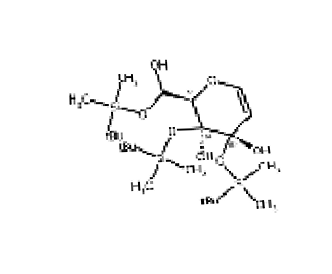 CC(C)(C)[Si](C)(C)OC(O)[C@H]1OC=C[C@](O)(O[Si](C)(C)C(C)(C)C)[C@@]1(O)O[Si](C)(C)C(C)(C)C